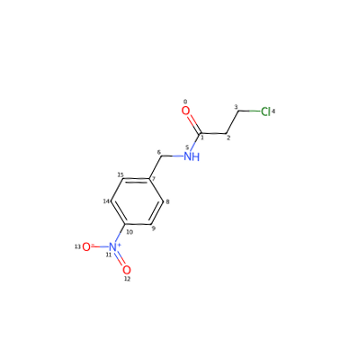 O=C(CCCl)NCc1ccc([N+](=O)[O-])cc1